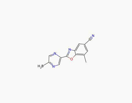 Bc1cnc(-c2nc3cc(C#N)cc(C)c3o2)cn1